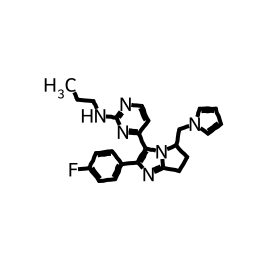 CCCNc1nccc(-c2c(-c3ccc(F)cc3)nc3n2C(Cn2cccc2)CC3)n1